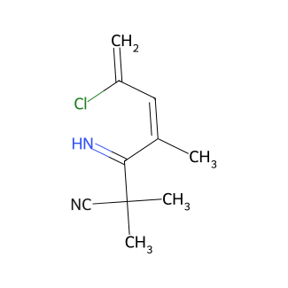 C=C(Cl)/C=C(/C)C(=N)C(C)(C)C#N